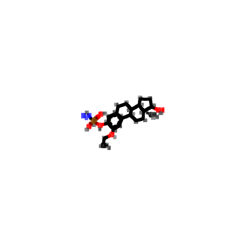 CCOc1cc2c(cc1OS(N)(=O)=O)CCC1C2CC[C@@]2(C)C1CC[C@H]2O